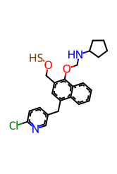 SOCc1cc(Cc2ccc(Cl)nc2)c2ccccc2c1OCNC1CCCC1